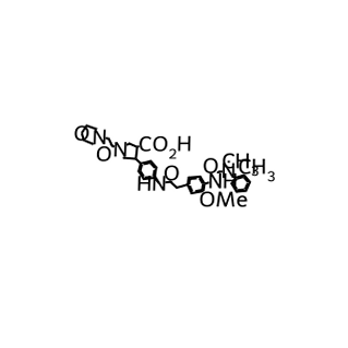 COc1cc(CC(=O)Nc2ccc(C3CN(C(=O)CN4CCOCC4)CC3C(=O)O)cc2)ccc1NC(=O)N(C)c1ccccc1C